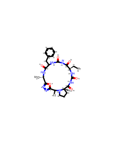 CCC1c2nnc(o2)[C@H](C)NC(=O)C(Cc2ccccc2)NC(=O)NC(=O)[C@@H](CC(C)C)NC(=O)NC(=O)[C@@H]2CCCN12